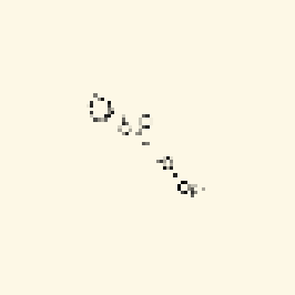 CCOCCOCCCC(=O)OCc1ccccc1